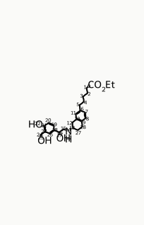 CCOC(=O)CCCCCc1ccc2c(c1)C[C@@H](NC[C@@H](O)c1ccc(O)c(CO)c1)CC2